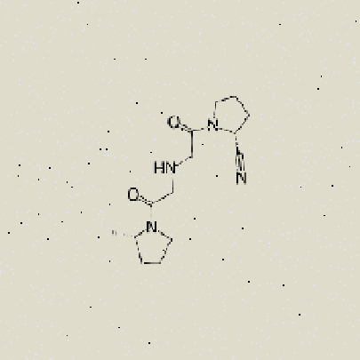 C[C@H]1CCCN1C(=O)CNCC(=O)N1CCC[C@H]1C#N